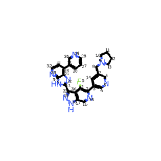 Fc1c(-c2cncc(CN3CCCC3)c2)ncc2[nH]nc(-c3nc4c(-c5cccnc5)ccnc4[nH]3)c12